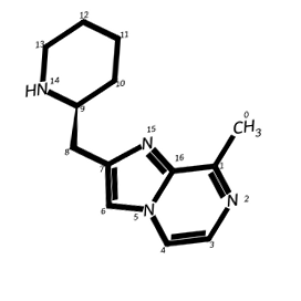 Cc1nccn2cc(C[C@@H]3CCCCN3)nc12